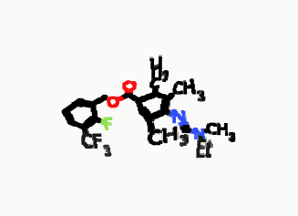 CCN(C)/C=N/c1c(C)cc(C(=O)OCc2cccc(C(F)(F)F)c2F)c(C)c1C